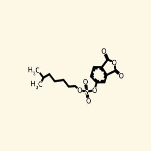 CC(C)CCCCCOS(=O)(=O)Oc1ccc2c(c1)C(=O)OC2=O